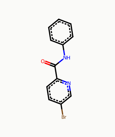 O=C(Nc1ccccc1)c1ccc(Br)cn1